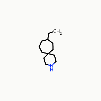 CCC1CCCC2(CCNCC2)CC1